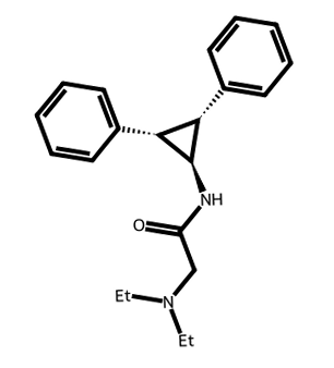 CCN(CC)CC(=O)N[C@@H]1[C@@H](c2ccccc2)[C@H]1c1ccccc1